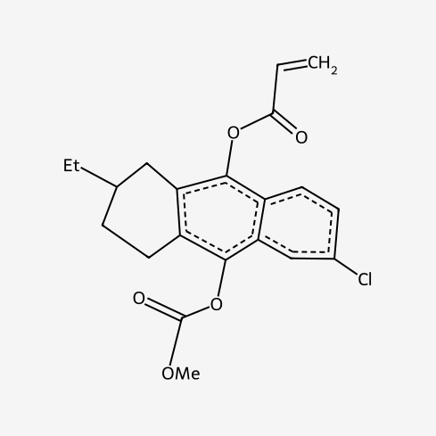 C=CC(=O)Oc1c2c(c(OC(=O)OC)c3cc(Cl)ccc13)CCC(CC)C2